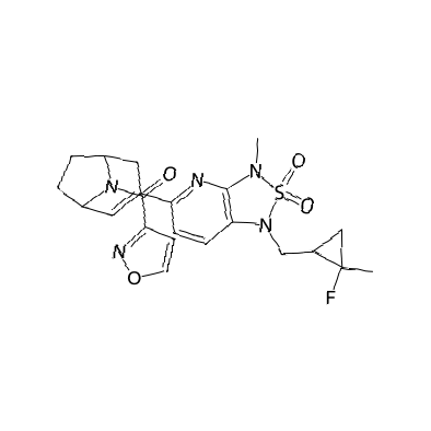 CN1c2nc(C3=CC4CCC(C3)N4C(=O)c3ccon3)ccc2N(CC2CC2(C)F)S1(=O)=O